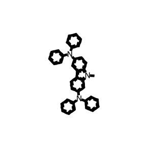 Cn1c2ccc(N(c3ccccc3)c3ccccc3)cc2c2ccc(N(c3ccccc3)c3ccccc3)cc21